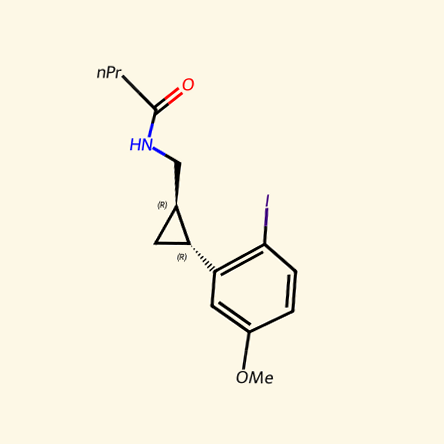 CCCC(=O)NC[C@@H]1C[C@H]1c1cc(OC)ccc1I